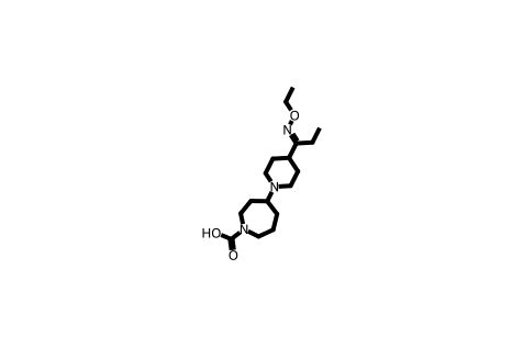 CCON=C(CC)C1CCN(C2CCCN(C(=O)O)CC2)CC1